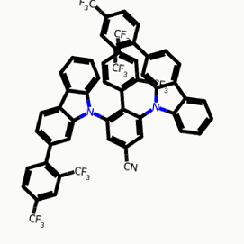 N#Cc1cc(-n2c3ccccc3c3ccc(-c4ccc(C(F)(F)F)cc4C(F)(F)F)cc32)c(-c2ccc(C(F)(F)F)cc2C(F)(F)F)c(-n2c3ccccc3c3ccc(-c4ccc(C(F)(F)F)cc4C(F)(F)F)cc32)c1